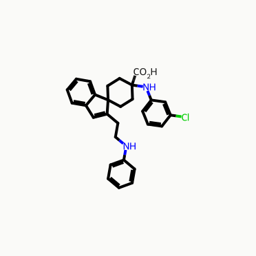 O=C(O)C1(Nc2cccc(Cl)c2)CCC2(CC1)C(CCNc1ccccc1)=Cc1ccccc12